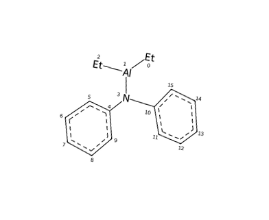 C[CH2][Al]([CH2]C)[N](c1ccccc1)c1ccccc1